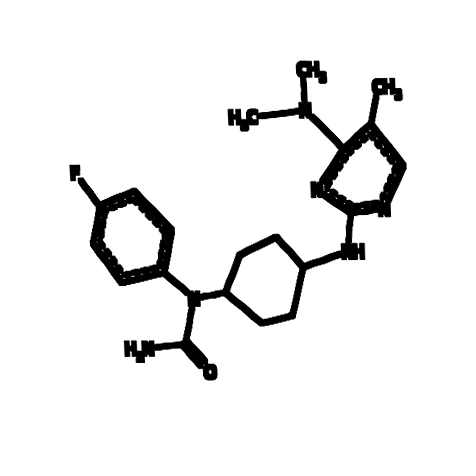 Cc1cnc(NC2CCC(N(C(N)=O)c3ccc(F)cc3)CC2)nc1N(C)C